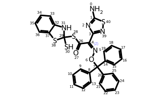 Nc1nc(/C(=N/OC(c2ccccc2)(c2ccccc2)c2ccccc2)C(=O)SC2(S)Nc3ccccc3S2)ns1